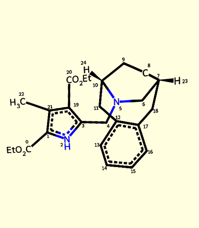 CCOC(=O)c1[nH]c(CN2C[C@@H]3CC[C@H]2Cc2ccccc2C3)c(C(=O)OCC)c1C